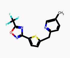 Cc1ccc(Cc2ccc(-c3noc(C(F)(F)F)n3)s2)nc1